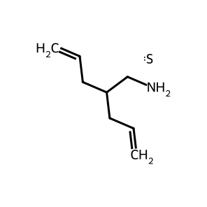 C=CCC(CN)CC=C.[S]